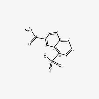 COC(=O)c1ccc2cccc(S(=O)(=O)Cl)c2c1